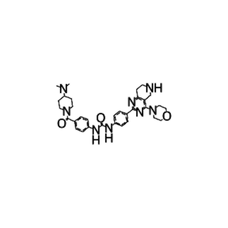 CN(C)C1CCN(C(=O)c2ccc(NC(=O)Nc3ccc(-c4nc5c(c(N6CCOCC6)n4)CNCC5)cc3)cc2)CC1